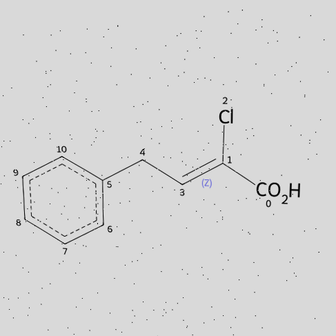 O=C(O)/C(Cl)=C/Cc1ccccc1